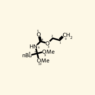 C=CCOC(=O)NC(CCCC)(OC)OC